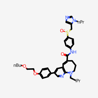 CCCCOCCOc1ccc(-c2cnc3c(c2)C=C(C(=O)Nc2ccc([S@@+]([O-])Cc4cncn4CCC)cc2)CCCN3CC(C)C)cc1